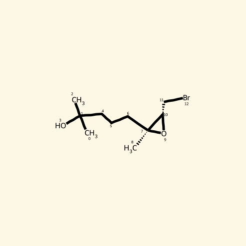 CC(C)(O)CCC[C@]1(C)O[C@H]1CBr